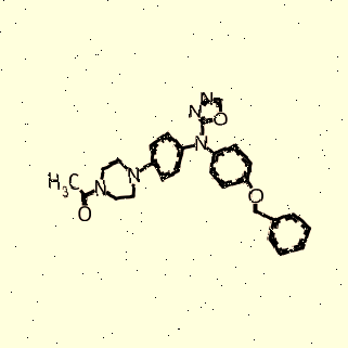 CC(=O)N1CCN(c2ccc(N(c3ccc(OCc4ccccc4)cc3)c3nnco3)cc2)CC1